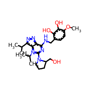 COc1ccc(CNc2nc(N3CCCC3CO)n(C(C)C)c3c(C(C)C)nnc2-3)c(O)c1O